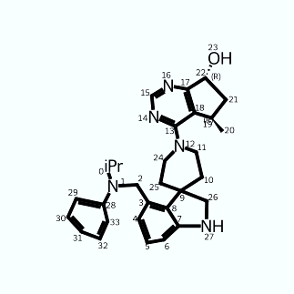 CC(C)N(Cc1cccc2c1C1(CCN(c3ncnc4c3[C@H](C)C[C@H]4O)CC1)CN2)c1ccccc1